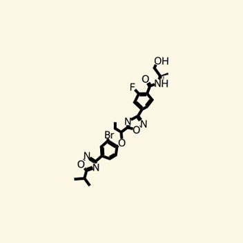 CCC(Oc1ccc(-c2noc(C(C)C)n2)cc1Br)c1nc(-c2ccc(C(=O)N[C@H](C)CO)c(F)c2)no1